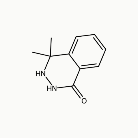 CC1(C)NNC(=O)c2ccccc21